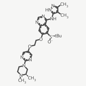 Cc1n[nH]c(Nc2ncnc3cc(OCCOc4cnc(N5CCN(C)[C@H](C)C5)nc4)c([S+]([O-])C(C)(C)C)cc23)c1C